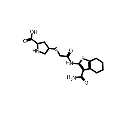 NC(=O)c1c(NC(=O)CSC2CNC(C(=O)O)C2)sc2c1CCCC2